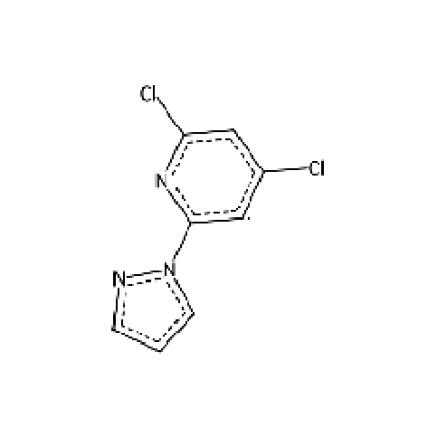 Clc1[c]c(-n2cccn2)nc(Cl)c1